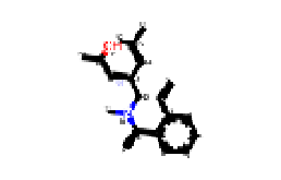 C=Cc1ccccc1C(=C)N(C)C/C(C=C(C)C)=C/C(C)O